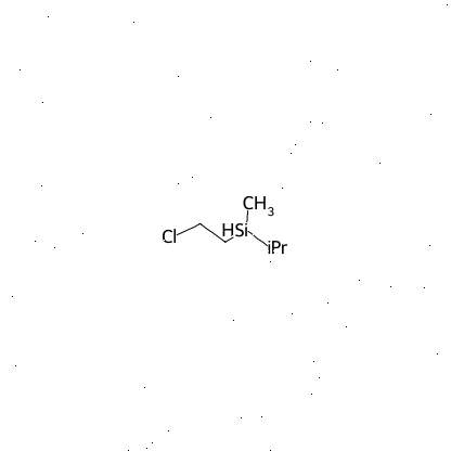 CC(C)[SiH](C)CCCl